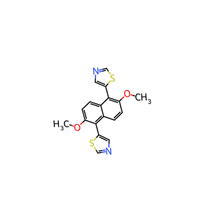 COc1ccc2c(-c3cncs3)c(OC)ccc2c1-c1cncs1